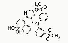 CS(=O)(=O)c1cccc(N(Cc2cccnc2N2CCS(O)(O)c3ccccc32)c2cccc(S(C)(=O)=O)c2)c1